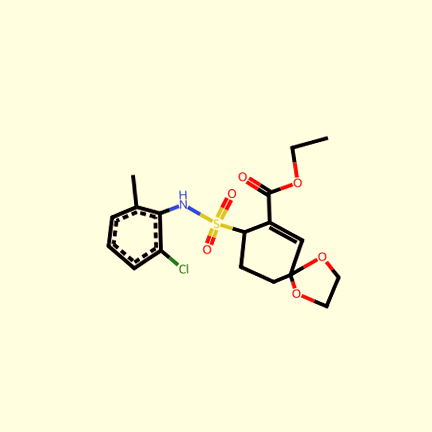 CCOC(=O)C1=CC2(CCC1S(=O)(=O)Nc1c(C)cccc1Cl)OCCO2